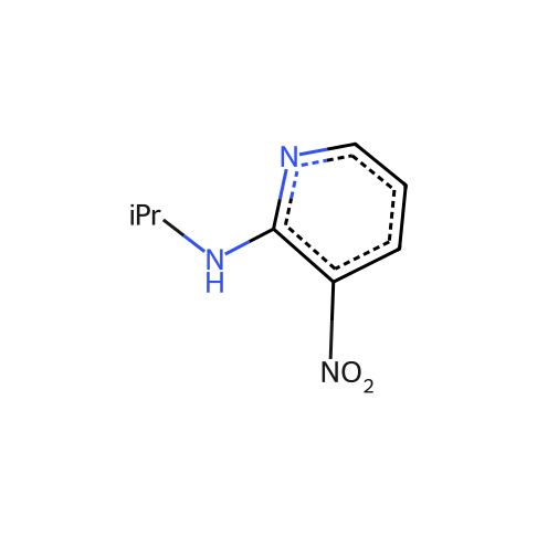 CC(C)Nc1ncccc1[N+](=O)[O-]